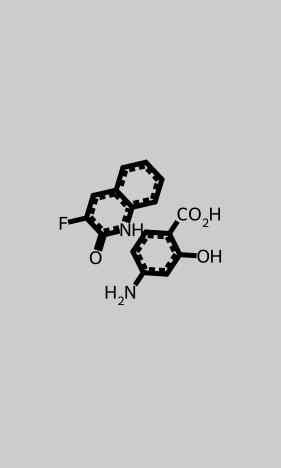 Nc1ccc(C(=O)O)c(O)c1.O=c1[nH]c2ccccc2cc1F